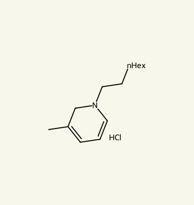 CCCCCCCCN1C=CC=C(C)C1.Cl